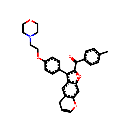 Cc1ccc(C(=O)c2oc3cc4c(cc3c2-c2ccc(OCCN3CCOCC3)cc2)CC=CO4)cc1